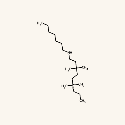 CCCCCCCNCCC(C)(C)CC[PH](C)(C)CCC